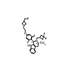 C[C@@H]1Cc2c([nH]c3ccccc23)[C@@H](c2c(F)cc(OCCN3CC(CF)C3)cc2F)N1CC1CC(F)(F)C1